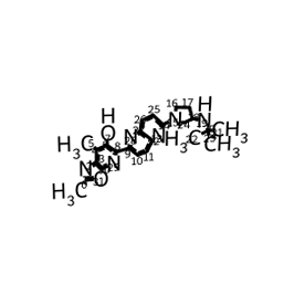 Cc1nc2c(C)c(O)c(-c3ccc4nc(N5CCC(NC(C)(C)C)C5)ccc4n3)nc2o1